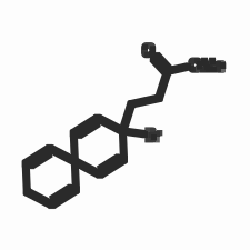 COC(=O)CCC1(Br)C=CC2(C=CCC=C2)C=C1